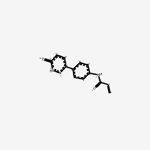 C=CC(=O)Nc1ccc(-c2ccc(=O)[nH]n2)cc1